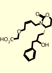 O=C(O)COC/C=C\CN1C(=O)OCC[C@@H]1CCC(O)Cc1ccccc1